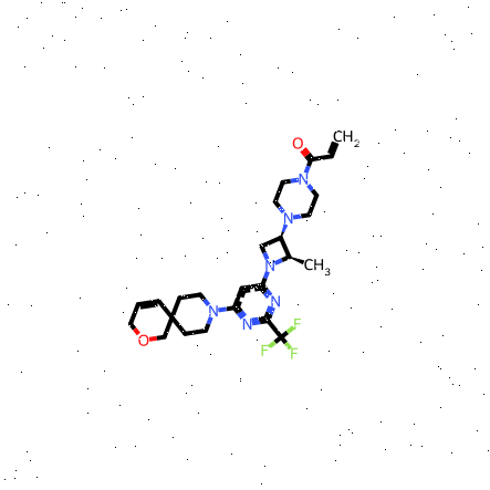 C=CC(=O)N1CCN([C@@H]2CN(c3cc(N4CCC5(C=CCOC5)CC4)nc(C(F)(F)F)n3)[C@@H]2C)CC1